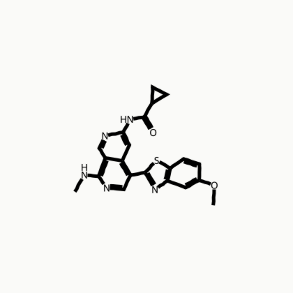 CNc1ncc(-c2nc3cc(OC)ccc3s2)c2cc(NC(=O)C3CC3)ncc12